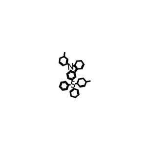 CC1C=C(n2c3c(c4cc(S(C5=CCCC=C5)(c5ccccc5)C5C=CC(C)CC5)ccc42)C=CCC3)C=CC1